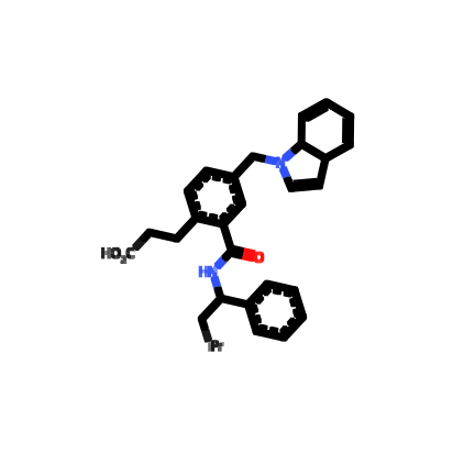 CC(C)CC(NC(=O)c1cc(CN2C=CC3C=CC=CC32)ccc1CCC(=O)O)c1ccccc1